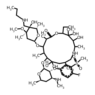 CCCNC[C@]1(O)[C@H](C)O[C@@H](OC2C(C)C(=O)OC(CC)C(C)(O)C(O)C(C)NCC(C)CC(C)(O)C(O[C@@H]3O[C@H](C)C[C@H](NC)[C@H]3Oc3ccc(F)c(S(C)(=O)=O)c3)C2C)C[C@@]1(C)OC